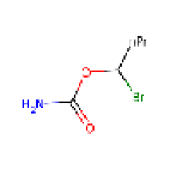 CCCC(Br)OC(N)=O